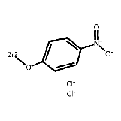 O=[N+]([O-])c1ccc([O][Zr+2])cc1.[Cl-].[Cl-]